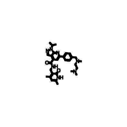 Cc1cc(C)c(CNC(=O)c2cc(-c3ccc(CN(C)CCN(C)C)cc3)nc3c2cnn3C(C)C)c(=O)[nH]1